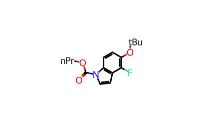 CCCOC(=O)n1ccc2c(F)c(OC(C)(C)C)ccc21